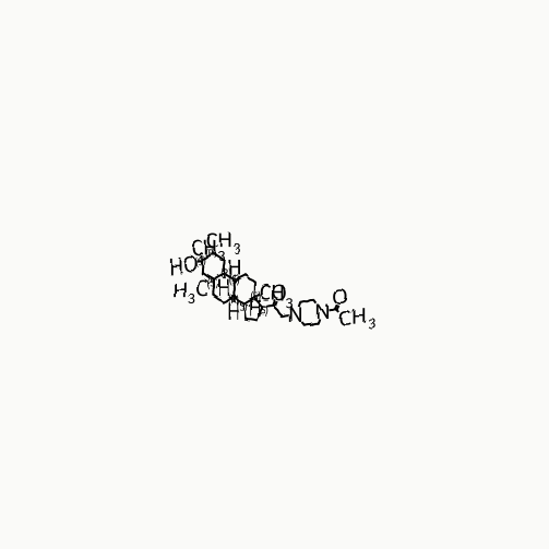 CC(=O)N1CCN(CC(=O)[C@H]2CC[C@H]3[C@@H]4CC[C@@]5(C)C[C@](C)(O)[C@H](C)C[C@@H]5[C@H]4CC[C@]23C)CC1